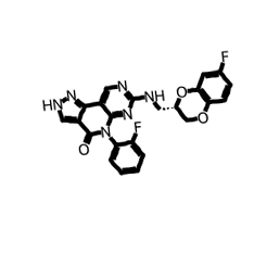 O=c1c2c[nH]nc2c2cnc(NC[C@H]3COc4ccc(F)cc4O3)nc2n1-c1ccccc1F